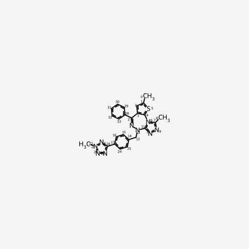 Cc1cc2c(s1)-n1c(C)nnc1N(Cc1ccc(-c3nnn(C)n3)cc1)N=C2c1ccccc1